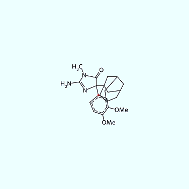 COc1ccc(C2(C34CC5CC(CC(C5)C3)C4)N=C(N)N(C)C2=O)cc1OC